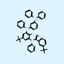 CC(C)(C)c1cc(N(c2ccccc2)c2cccc(N(c3ccccc3)c3ccccc3)c2)c(Cl)c(N(c2ccccc2)c2coc3ccc(C(C)(C)C)cc23)c1